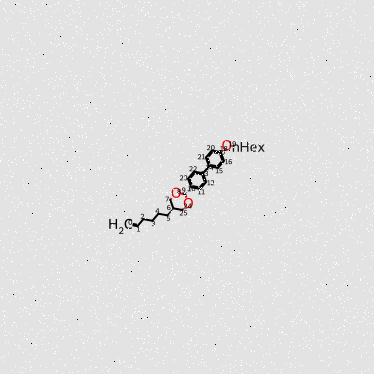 C=CCCCC[C@H]1CO[C@H](c2ccc(-c3ccc(OCCCCCC)cc3)cc2)OC1